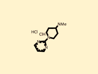 CNC1CCN(c2ncccn2)CC1.Cl.Cl